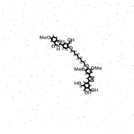 COc1ccc2c(c1)C(=O)NC(c1ccc(OCCCCCCCCCOc3c(OC)cc(C4=NOC(c5cc(CO)c(CO)c(CO)c5)C4)cc3OC)c(CO)c1)N2